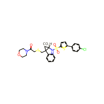 O=C(CSCC1(c2ccccc2)CC1(NS(=O)(=O)c1ccc(-c2ccc(Cl)cc2)s1)C(=O)O)N1CCOCC1